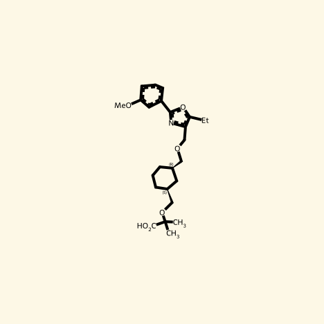 CCc1oc(-c2cccc(OC)c2)nc1COC[C@@H]1CCC[C@H](COC(C)(C)C(=O)O)C1